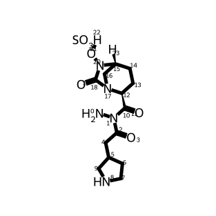 NN(C(=O)CC1CCNC1)C(=O)[C@@H]1CC[C@@H]2CN1C(=O)N2OS(=O)(=O)O